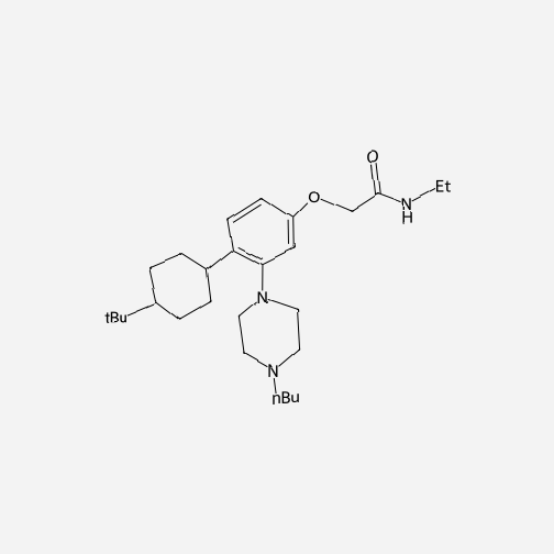 CCCCN1CCN(c2cc(OCC(=O)NCC)ccc2C2CCC(C(C)(C)C)CC2)CC1